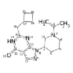 C=C(C)N1CCCC(n2ncc3c(=O)[nH]c(CC4CCC4)nc32)C1